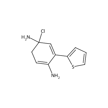 NC1=CCC(N)(Cl)C=C1c1cccs1